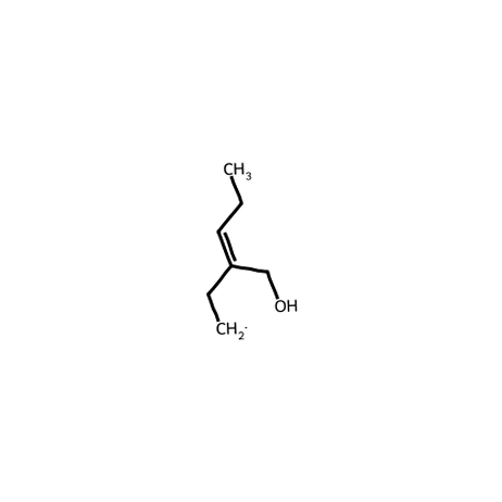 [CH2]C/C(=C/CC)CO